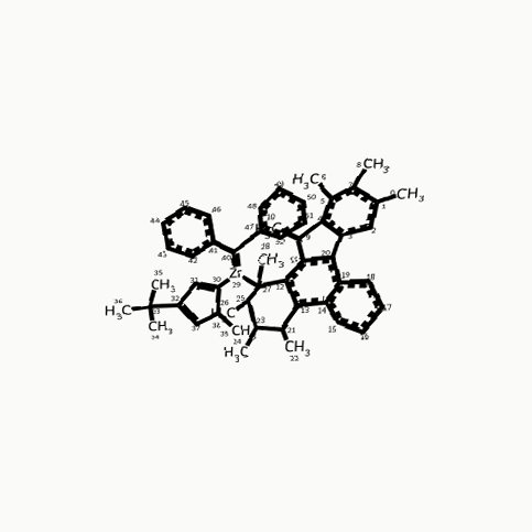 Cc1cc2c(c(C)c1C)C(C)c1c3c(c4ccccc4c1-2)C(C)C(C)C(C)[C]3(C)[Zr]([C]1=CC(C(C)(C)C)=CC1C)=[C](c1ccccc1)c1ccccc1